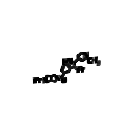 Cc1cc(-c2[nH]c3ccc(C(=O)N4CC5CN(C(C)C)CC5C4)cc3c2C(C)C)ccn1